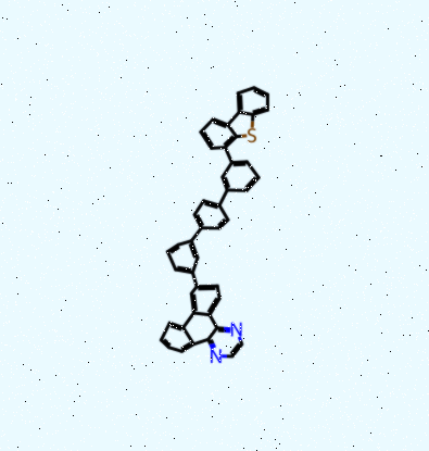 c1cc(-c2ccc(-c3cccc(-c4cccc5c4sc4ccccc45)c3)cc2)cc(-c2ccc3c(c2)c2ccccc2c2nccnc32)c1